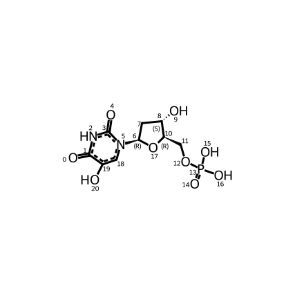 O=c1[nH]c(=O)n([C@H]2C[C@H](O)[C@@H](COP(=O)(O)O)O2)cc1O